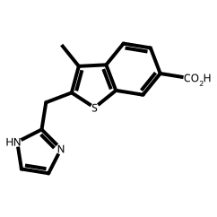 Cc1c(Cc2ncc[nH]2)sc2cc(C(=O)O)ccc12